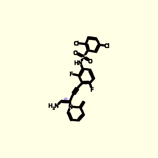 C=C1C=CC=CN1/C(C#Cc1c(F)ccc(NS(=O)(=O)c2cc(Cl)ccc2Cl)c1F)=C\N